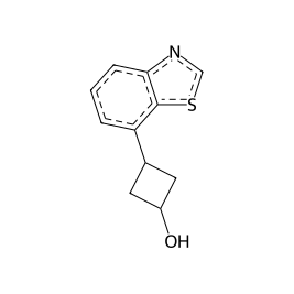 OC1CC(c2cccc3ncsc23)C1